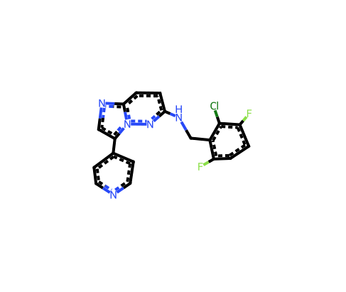 Fc1ccc(F)c(CNc2ccc3ncc(-c4ccncc4)n3n2)c1Cl